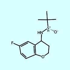 CC(C)(C)[S@+]([O-])NC1CCOc2ccc(F)cc21